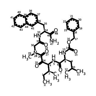 CC[C@H](C)C(NC(=O)[C@H](CC(C)C)NC(=O)OCc1ccccc1)C(=O)C(=O)N(C)CC(=O)N[C@@H](Cc1ccc2ccccc2c1)C(N)=O